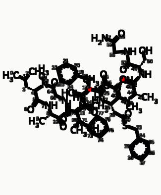 CC(C)C[C@@H](C(=O)N[C@@H](C)C(=O)N[C@H](C(=O)N[C@@H](Cc1ccccc1)C(=O)N[C@@H](CC(=O)SCc1ccccc1)C(=O)N(C)[C@@H](C)C(=O)N[C@@H](CO)C(=O)NCC(N)=O)C(C)C)N(C)C(=O)CNC(=O)[C@H](Cc1ccccc1)N(C)C(=O)[C@H](C)NC(=O)CN